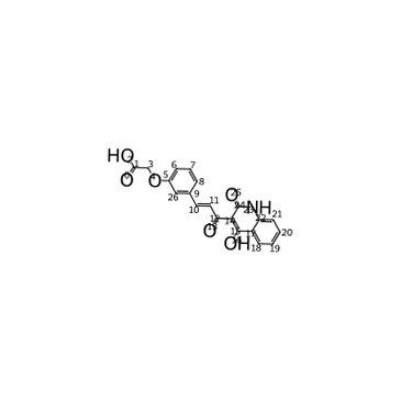 O=C(O)COc1cccc(C=CC(=O)c2c(O)c3ccccc3[nH]c2=O)c1